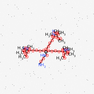 CC(=O)NC1C(OCCOCCOCCOCCOc2cc(C(=O)NCCOCCOCCN)cc(OCCOCCOCCOCCOC3OC(COC(C)=O)C(OC(C)=O)C(OC(C)=O)C3NC(C)=O)c2OCCOCCOCCOCCOC2OC(COC(C)=O)C(OC(C)=O)C(OC(C)=O)C2NC(C)=O)OC(COC(C)=O)C(OC(C)=O)C1OC(C)=O